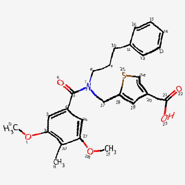 COc1cc(C(=O)N(CCCc2ccccc2)Cc2cc(C(=O)O)cs2)cc(OC)c1C